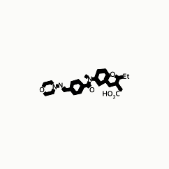 CCC1Oc2ccc(N(C)C(=O)c3ccc(C=NN4CCOCC4)cc3)cc2CC1CC(=O)O